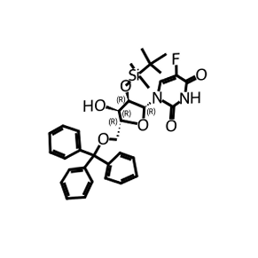 CC(C)(C)[Si](C)(C)O[C@@H]1[C@H](O)[C@@H](COC(c2ccccc2)(c2ccccc2)c2ccccc2)O[C@H]1n1cc(F)c(=O)[nH]c1=O